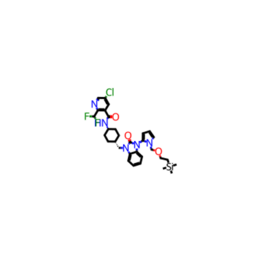 C[Si](C)(C)CCOCn1cccc1-n1c(=O)n(C[C@H]2CC[C@H](NC(=O)c3cc(Cl)cnc3C(F)F)CC2)c2ccccc21